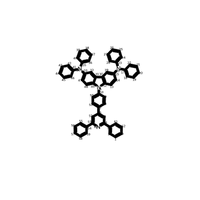 c1ccc(-c2cc(-c3ccc(-n4c5ccc(N(c6ccccc6)c6ccccc6)cc5c5cc(N(c6ccccc6)c6ccccc6)ccc54)cc3)cc(-c3ccccc3)n2)cc1